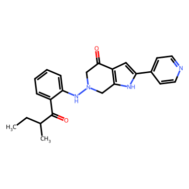 CCC(C)C(=O)c1ccccc1NN1CC(=O)c2cc(-c3ccncc3)[nH]c2C1